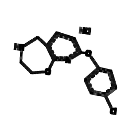 Cl.Clc1ccc(Oc2ccc3c(n2)OCCNC3)cc1